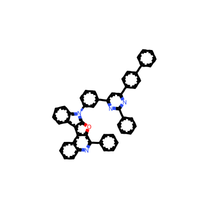 c1ccc(-c2ccc(-c3cc(-c4cccc(-n5c6ccccc6c6c7c(oc65)c(-c5ccccc5)nc5ccccc57)c4)nc(-c4ccccc4)n3)cc2)cc1